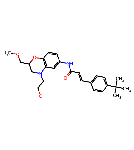 COCC1CN(CCO)c2cc(NC(=O)/C=C/c3ccc(C(C)(C)C)cc3)ccc2O1